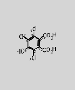 O=C(O)c1c(Cl)c(O)c(Cl)c(Cl)c1C(=O)O